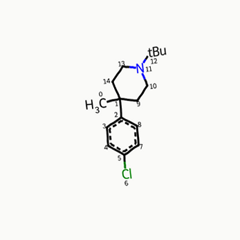 CC1(c2ccc(Cl)cc2)CCN(C(C)(C)C)CC1